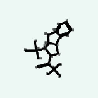 CC(C)(C)C(=O)C1CC2c3ccccc3SC2N1C(C)(C)C